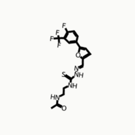 CC(=O)NCCNC(=S)NN=Cc1ccc(-c2ccc(F)c(C(F)(F)F)c2)o1